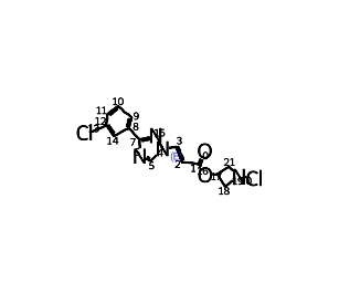 O=C(/C=C/n1cnc(-c2cccc(Cl)c2)n1)OC1CN(Cl)C1